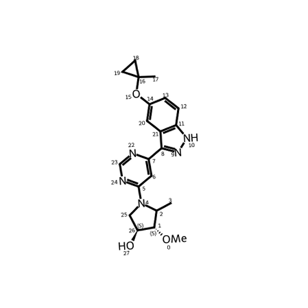 CO[C@H]1C(C)N(c2cc(-c3n[nH]c4ccc(OC5(C)CC5)cc34)ncn2)C[C@@H]1O